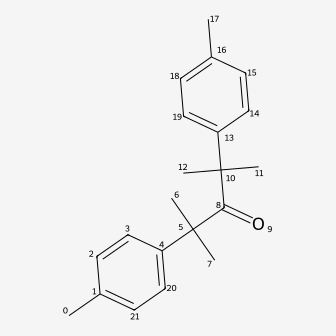 Cc1ccc(C(C)(C)C(=O)C(C)(C)c2ccc(C)cc2)cc1